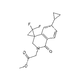 COC(=O)CN1CC2(CC2(F)F)c2cc(C3CC3)ccc2C1=O